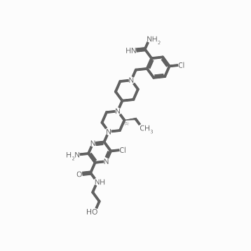 CC[C@H]1CN(c2nc(N)c(C(=O)NCCO)nc2Cl)CCN1C1CCN(Cc2ccc(Cl)cc2C(=N)N)CC1